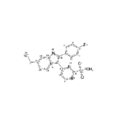 CS(=O)(=O)c1nccc(-c2c(-c3ccc(F)cc3)nc3cc(CC#N)ccn23)n1